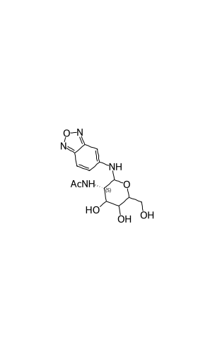 CC(=O)N[C@@H]1C(Nc2ccc3nonc3c2)OC(CO)C(O)C1O